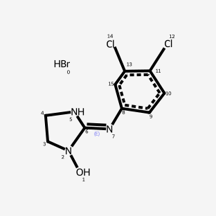 Br.ON1CCN/C1=N\c1ccc(Cl)c(Cl)c1